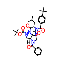 CC(C)C[C@H](NC(=O)c1ccc(C(C)(C)C)cc1)C(=O)N1[C@@H]2C(=O)CN(C(=O)c3ccccc3)[C@@H]2CN1C(=O)OC(C)(C)C